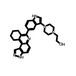 OCCN1CCN(c2c[nH]c3ccc(-c4nc5ccc6[nH]ncc6c5c5c4CCCC5)cc23)CC1